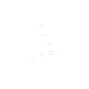 [Al].[Cu].[Mg].[Sn].[Ti].[Zr]